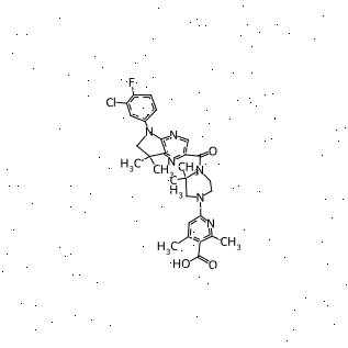 Cc1cc(N2CCN(C(=O)c3cnc4c(n3)C(C)(C)CN4c3ccc(F)c(Cl)c3)C(C)(C)C2)nc(C)c1C(=O)O